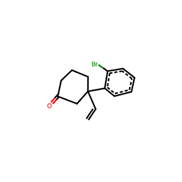 C=CC1(c2ccccc2Br)CCCC(=O)C1